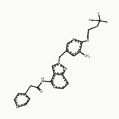 Cc1cc(Cn2cc3c(NC(=O)Cc4ccncc4)nccc3n2)cnc1OCCC(F)(F)F